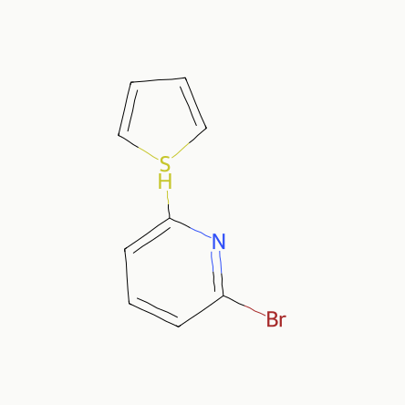 Brc1cccc([SH]2C=CC=C2)n1